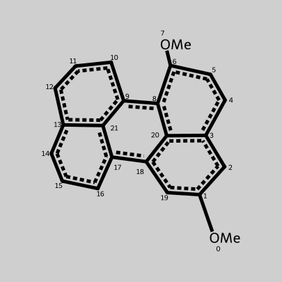 COc1cc2ccc(OC)c3c4cccc5cccc(c(c1)c23)c54